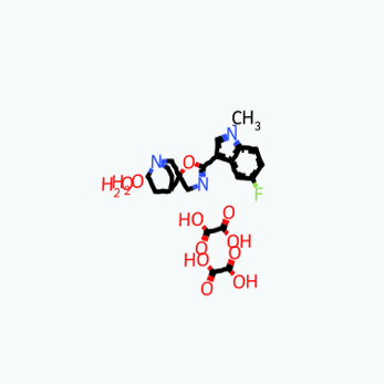 Cn1cc(C2=NCC3(CN4CCC3CC4)O2)c2cc(F)ccc21.O.O.O=C(O)C(=O)O.O=C(O)C(=O)O